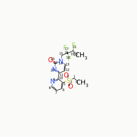 CCS(=O)(=O)c1cccnc1-c1ccn(CC(F)(F)C(C)F)c(=O)n1